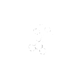 COc1cc(C)c(OC)c(-c2cc(OC)cc(C(C)(C)C)c2Op2oc3c(C)cc(C)cc3c3cc(C)cc(C)c3o2)c1